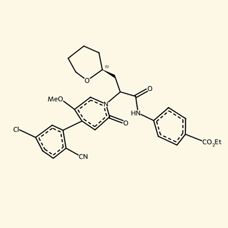 CCOC(=O)c1ccc(NC(=O)C(C[C@@H]2CCCCO2)n2cc(OC)c(-c3cc(Cl)ccc3C#N)cc2=O)cc1